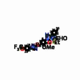 CCS/C(=N\C(=O)Nc1ccc(COc2ncn(-c3ccc(OC(F)(F)F)cc3)n2)c(OC)c1)N(C=O)c1cc(C)ccc1C(C)C